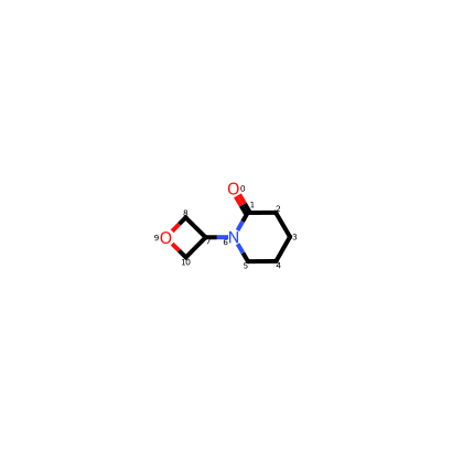 O=C1CCCCN1C1COC1